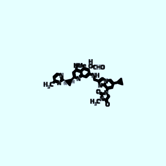 CNc1cc([C@H]2C[C@@H]2c2nccc(C)n2)nc2cc(NCc3cn4cc(C5CC5)cc(N5CC(=O)N(C)C5=O)c4n3)ccc12.O=CO